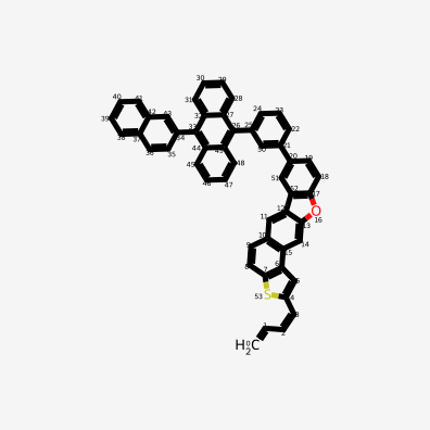 C=C/C=C\c1cc2c(ccc3cc4c(cc32)oc2ccc(-c3cccc(-c5c6ccccc6c(-c6ccc7ccccc7c6)c6ccccc56)c3)cc24)s1